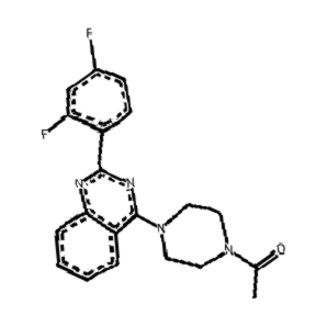 CC(=O)N1CCN(c2nc(-c3ccc(F)cc3F)nc3ccccc23)CC1